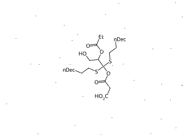 CCCCCCCCCCCCSC(OC(=O)CC(=O)O)(SCCCCCCCCCCCC)C(CO)OC(=O)CC